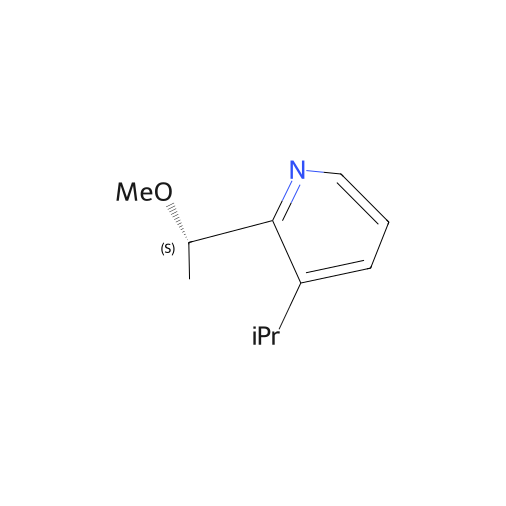 CO[C@@H](C)c1ncccc1C(C)C